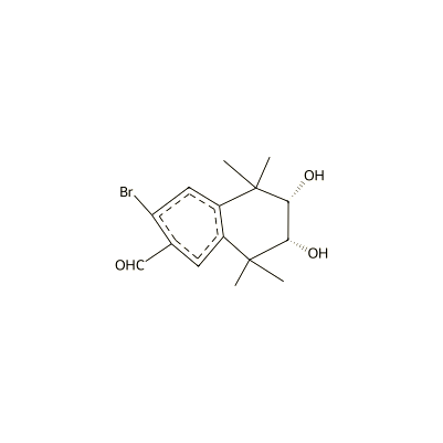 CC1(C)c2cc(Br)c(C=O)cc2C(C)(C)[C@@H](O)[C@H]1O